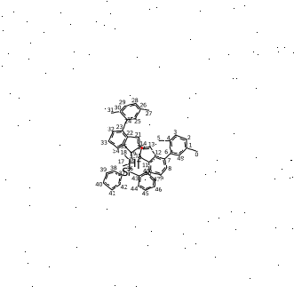 Cc1ccc(C)c(-c2cccc3c2C=C[CH]3[Hf]([CH3])([CH3])([CH]2C=Cc3c(-c4cc(C)ccc4C)cccc32)=[Si](c2ccccc2)c2ccccc2)c1